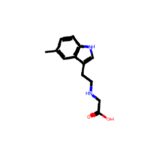 Cc1ccc2[nH]cc(CCNCC(=O)O)c2c1